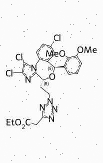 CCOC(=O)Cc1nnn(CC[C@H]2O[C@H](c3cccc(OC)c3OC)c3cc(Cl)ccc3-n3c2nc(Cl)c3Cl)n1